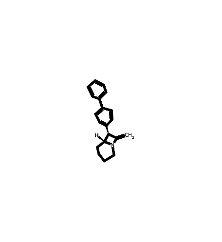 C=C1[C@H](c2ccc(-c3ccccc3)cc2)[C@H]2CCCCN12